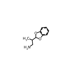 CC(CN)C1Oc2ccccc2O1